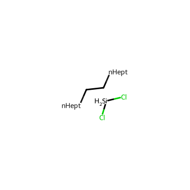 CCCCCCCCCCCCCCCC.Cl[SiH2]Cl